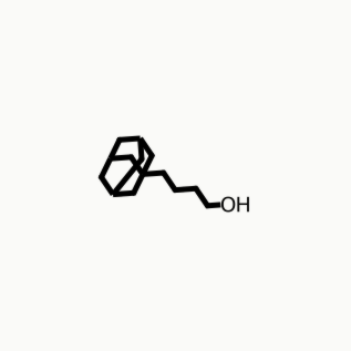 OCCCCC12CC3CC(CC(C3)C1)C2